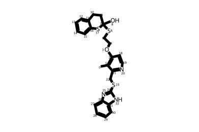 Cc1c(OCCSC2(O)CCc3ccccc3S2)ccnc1CSc1nc2ccccc2[nH]1